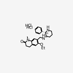 CCOc1cc2c(cc1CN[C@H]1CCCN[C@H]1c1ccccc1)N(C)C(=O)CC2.Cl.Cl